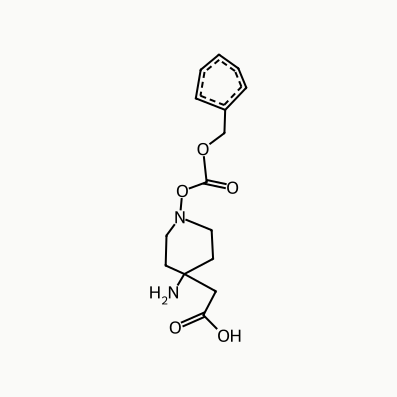 NC1(CC(=O)O)CCN(OC(=O)OCc2ccccc2)CC1